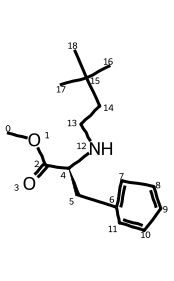 COC(=O)[C@H](Cc1ccccc1)NCCC(C)(C)C